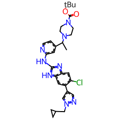 CC(c1ccnc(Nc2nc3cc(Cl)c(-c4cnn(CC5CC5)c4)cc3[nH]2)c1)N1CCN(C(=O)OC(C)(C)C)CC1